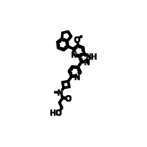 COc1cc2[nH]nc(-c3ccc(C4CC(N(C)C(=O)CCO)C4)nc3)c2nc1-c1cccc2c1CCC2